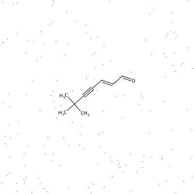 CC(C)(C)C#C/C=C/C=O